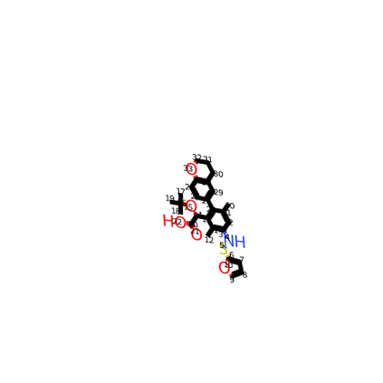 Cc1cc(NSc2ccco2)c(C)c(C(OC(C)(C)C)C(=O)O)c1-c1ccc2c(c1)CCCO2